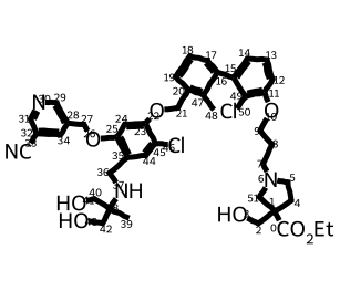 CCOC(=O)C1(CO)CCN(CCCOc2cccc(-c3cccc(COc4cc(OCc5cncc(C#N)c5)c(CNC(C)(CO)CO)cc4Cl)c3C)c2Cl)C1